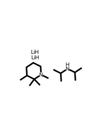 CC(C)NC(C)C.CC1CCCN(C)C1(C)C.[LiH].[LiH]